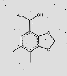 CC(=O)C(O)c1cc(C)c(C)c2c1OCO2